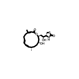 C/C1=C/C(=O)O[C@@H](C[C@@H](O)[C@@H]2CSC(=O)N2)C[C@H](O)CC[C@H](C)/C=C\C=C\CC1